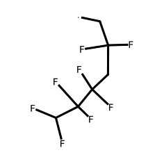 [CH2]CC(F)(F)CC(F)(F)C(F)(F)C(F)F